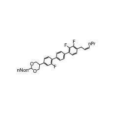 CCC/C=C\Cc1ccc(-c2ccc(-c3ccc(C4COC(CCCCCCCCC)OC4)cc3F)cc2)c(F)c1F